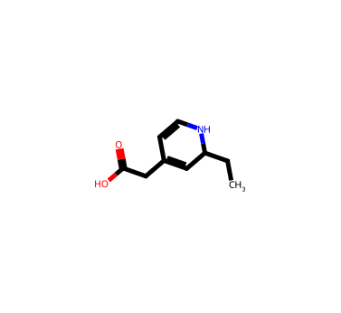 CCC1C=C(CC(=O)O)C=CN1